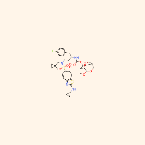 CC1(CN(C[C@@H](O)C(Cc2ccc(F)cc2)NC(=O)OC2C3COC4OCC2C4OC3)S(=O)(=O)C2=CCc3sc(NC4CC4)nc3C=C2)CC1